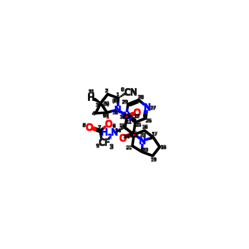 N#C[C@H]1C[C@H]2C[C@]2(OC(=O)C(F)(F)F)N1C(=O)[C@@H](N)C1CC2CCC(C1)N2C(=O)c1cnccn1